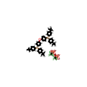 CC(C)(C)c1ccc([S+](c2ccc(Oc3ccc([S+](c4ccc(C(C)(C)C)cc4)c4ccc(C(C)(C)C)cc4)cc3)cc2)c2ccc(C(C)(C)C)cc2)cc1.O=S(=O)([O-])C(F)(F)F.O=S(=O)([O-])C(F)(F)F